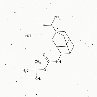 CC(C)(C)OC(=O)NC1C2CC3CC1CC(C(N)=O)(C3)C2.Cl